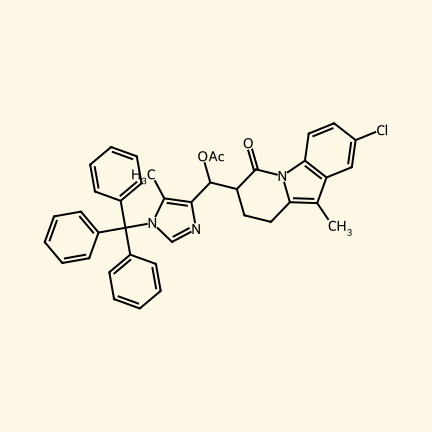 CC(=O)OC(c1ncn(C(c2ccccc2)(c2ccccc2)c2ccccc2)c1C)C1CCc2c(C)c3cc(Cl)ccc3n2C1=O